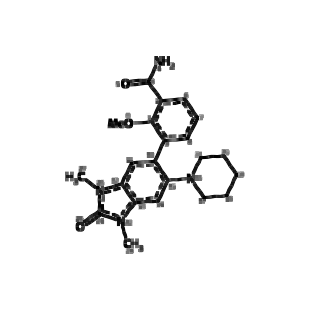 COc1c(C(N)=O)cccc1-c1cc2c(cc1N1CCCCC1)n(C)c(=O)n2C